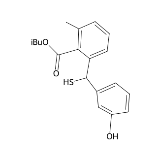 Cc1cccc(C(S)c2cccc(O)c2)c1C(=O)OCC(C)C